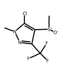 Cn1nc(C(F)(F)F)c([S+](C)[O-])c1Cl